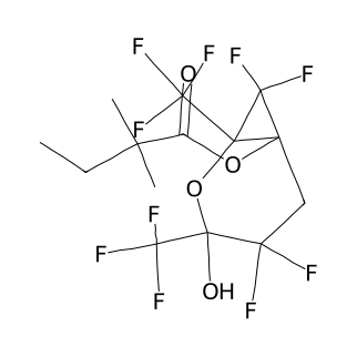 CCC(C)(C)C(=O)OC12CC(F)(F)C(O)(C(F)(F)F)OC1(C(F)(F)F)C2(F)F